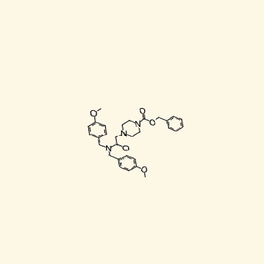 COc1ccc(CN(Cc2ccc(OC)cc2)C(=O)CN2CCN(C(=O)OCc3ccccc3)CC2)cc1